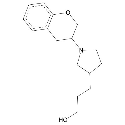 OCCCC1CCN(C2COc3ccccc3C2)C1